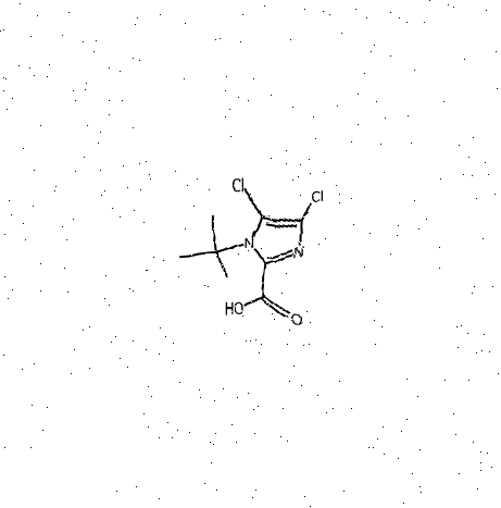 CC(C)(C)n1c(C(=O)O)nc(Cl)c1Cl